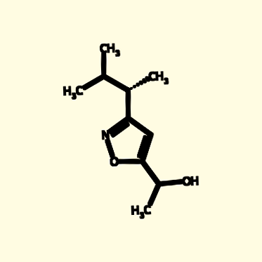 CC(O)c1cc([C@@H](C)C(C)C)no1